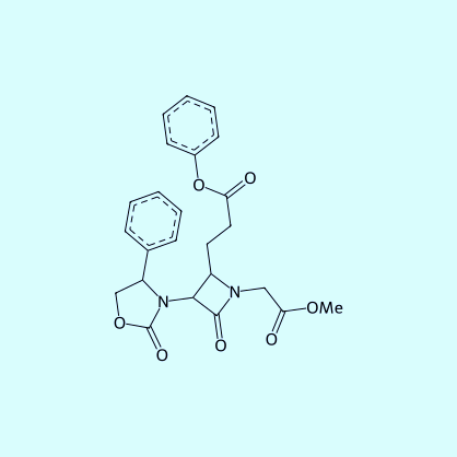 COC(=O)CN1C(=O)C(N2C(=O)OCC2c2ccccc2)C1CCC(=O)Oc1ccccc1